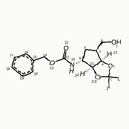 CC1(C)O[C@@H]2[C@H](CO)C[C@@H](NC(=O)OCc3ccccc3)[C@@H]2O1